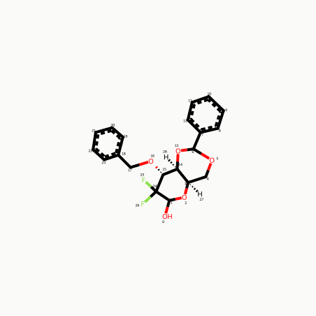 OC1O[C@@H]2COC(c3ccccc3)O[C@@H]2[C@@H](OCc2ccccc2)C1(F)F